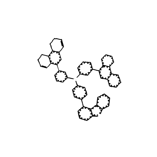 C1=Cc2cc(-c3cccc(N(c4ccc(-c5cccc6oc7ccccc7c56)cc4)c4cccc(-c5cc6ccccc6c6ccccc56)c4)c3)c3c(c2CC1)CCC=C3